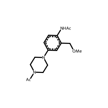 COCc1cc(N2CCN(C(C)=O)CC2)ccc1NC(C)=O